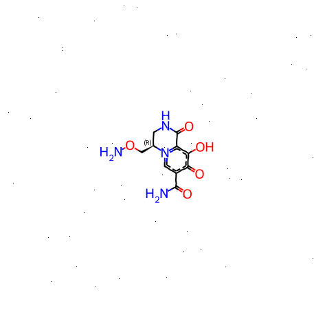 NOC[C@H]1CNC(=O)c2c(O)c(=O)c(C(N)=O)cn21